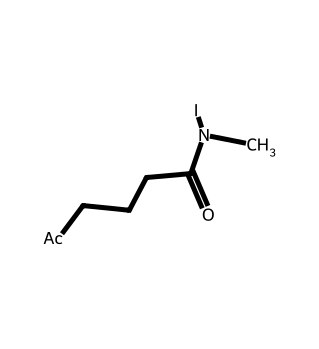 CC(=O)CCCC(=O)N(C)I